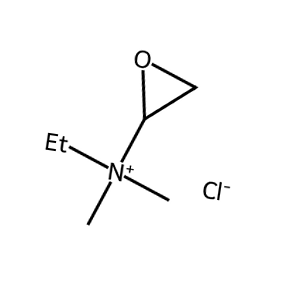 CC[N+](C)(C)C1CO1.[Cl-]